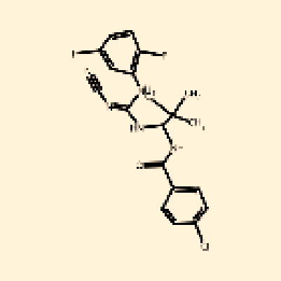 CC(C)(C)C(NC(=O)c1ccc(Cl)cc1)N/C(=N/C#N)Nc1cc(F)ccc1F